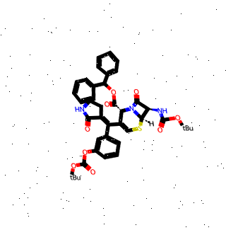 CC(C)(C)OC(=O)N[C@@H]1C(=O)N2[C@@H](C(=O)OC(c3ccccc3)c3ccccc3)C(C(=C3CCNC3=O)c3cccc(OC(=O)OC(C)(C)C)c3)=CS[C@H]12